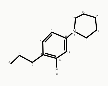 CCCc1ccc(N2CCCCC2)cc1F